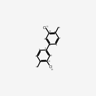 Cc1ccc(-c2ccc(C)c(Cl)c2)cc1Cl